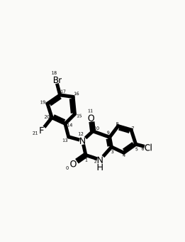 O=c1[nH]c2cc(Cl)ccc2c(=O)n1Cc1ccc(Br)cc1F